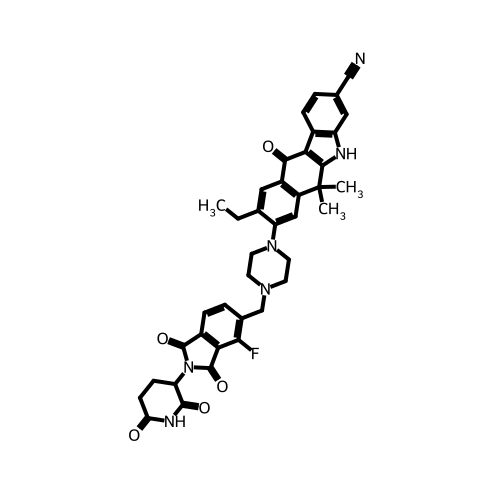 CCc1cc2c(cc1N1CCN(Cc3ccc4c(c3F)C(=O)N(C3CCC(=O)NC3=O)C4=O)CC1)C(C)(C)c1[nH]c3cc(C#N)ccc3c1C2=O